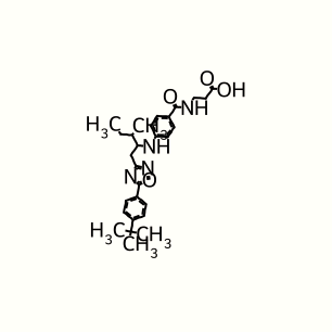 CCC(C)C(Cc1noc(-c2ccc(C(C)(C)C)cc2)n1)Nc1ccc(C(=O)NCCC(=O)O)cc1